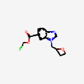 O=C(OCCl)c1ccc2ncn(CC3CCO3)c2c1